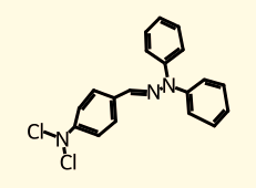 ClN(Cl)c1ccc(C=NN(c2ccccc2)c2ccccc2)cc1